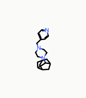 c1cc(CN2CCN(C3C4CC5CC(C4)C3C5)CC2)ccn1